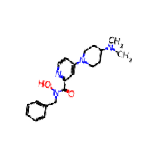 CN(C)C1CCN(c2ccnc(C(=O)N(O)Cc3ccccc3)c2)CC1